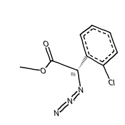 COC(=O)[C@@H](N=[N+]=[N-])c1ccccc1Cl